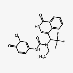 CCN(C(=O)NC1=CC(Cl)C(=O)C=C1)C(c1c[nH]c(=O)c2ccccc12)C(F)(F)F